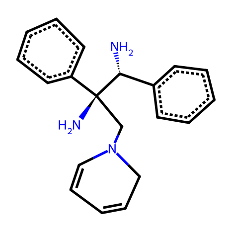 N[C@H](c1ccccc1)[C@](N)(CN1C=CC=CC1)c1ccccc1